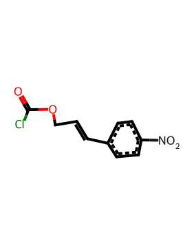 O=C(Cl)OCC=Cc1ccc([N+](=O)[O-])cc1